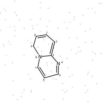 [C]1=CC=C2N=[C]C=CN2C1